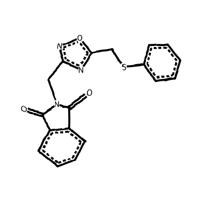 O=C1c2ccccc2C(=O)N1Cc1noc(CSc2ccccc2)n1